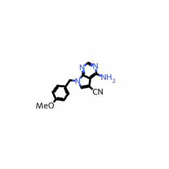 COc1ccc(Cn2cc(C#N)c3c(N)ncnc32)cc1